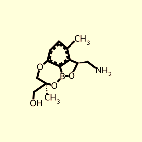 Cc1ccc2c3c1[C@@H](CN)OB3O[C@@](C)(CO)CO2